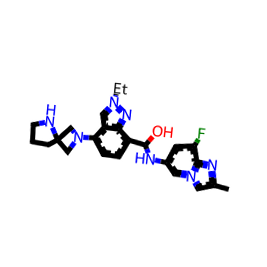 CCn1cc2c(N3CC4(CCCN4)C3)ccc(C(O)Nc3cc(F)c4nc(C)cn4c3)c2n1